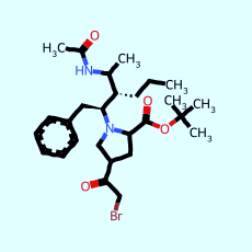 CCC[C@@H](C(C)NC(C)=O)[C@H](Cc1ccccc1)N1CC(C(=O)CBr)CC1C(=O)OC(C)(C)C